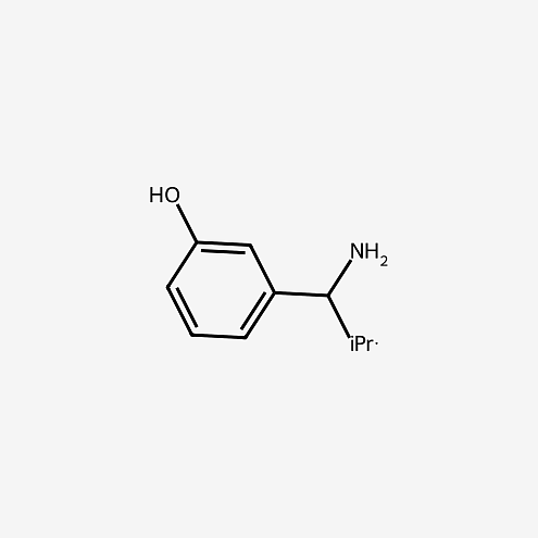 C[C](C)C(N)c1cccc(O)c1